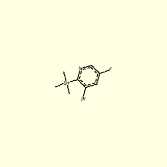 [CH3][Sn]([CH3])([CH3])[c]1ncc(F)cc1Br